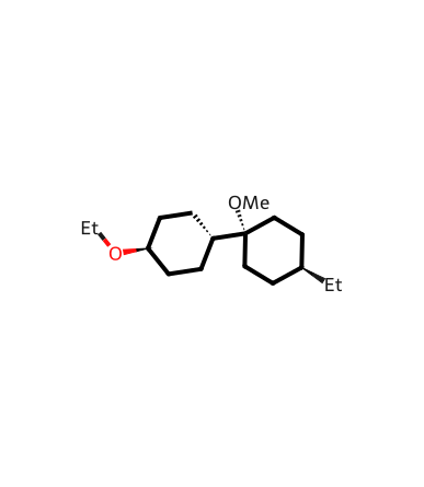 CCO[C@H]1CC[C@H]([C@]2(OC)CC[C@H](CC)CC2)CC1